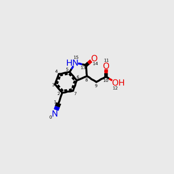 N#Cc1ccc2c(c1)C(CC(=O)O)C(=O)N2